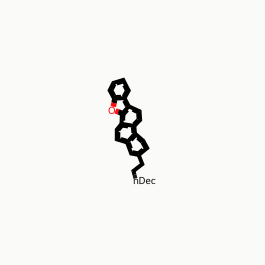 CCCCCCCCCCCCc1ccc2c(ccc3c2ccc2c4ccccc4oc23)c1